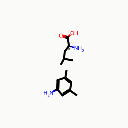 CC(C)C[C@H](N)C(=O)O.Cc1cc(C)cc(N)c1